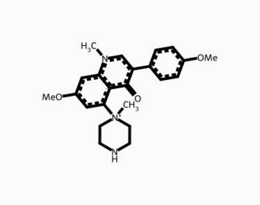 COc1ccc(-c2cn(C)c3cc(OC)cc([N+]4(C)CCNCC4)c3c2=O)cc1